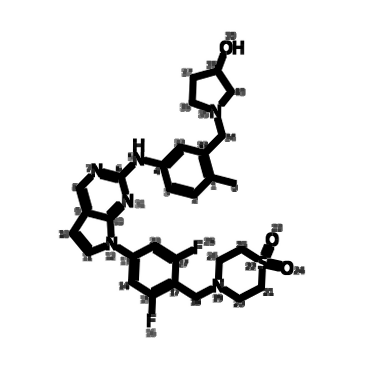 Cc1ccc(Nc2ncc3ccn(-c4cc(F)c(CN5CCS(=O)(=O)CC5)c(F)c4)c3n2)cc1CN1CCC(O)C1